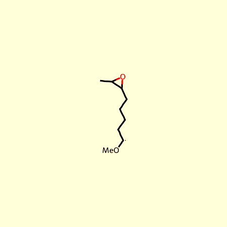 CO[CH]CCCCC1OC1C